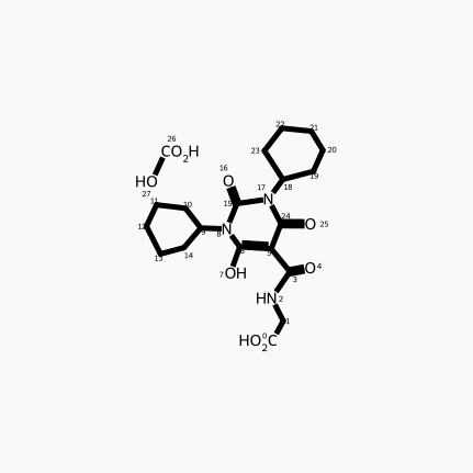 O=C(O)CNC(=O)c1c(O)n(C2CCCCC2)c(=O)n(C2CCCCC2)c1=O.O=C(O)O